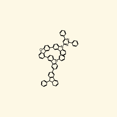 C1=CCC2C(=C1)c1cc(-c3ccc4c(c3)c3cc(-c5cccc6oc7ccc(-c8ccc9c(c8)c8ccccc8n9-c8cc(-c9ccccc9)nc(-c9ccccc9)n8)cc7c56)ccc3n4-c3ccccc3)ccc1C2c1ccccc1